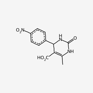 CC1=C(C(=O)O)C(c2ccc([N+](=O)[O-])cc2)NC(=O)N1